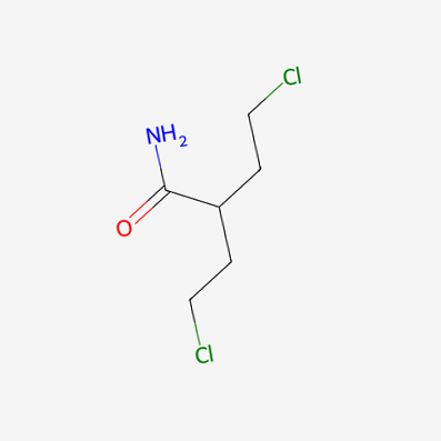 NC(=O)C(CCCl)CCCl